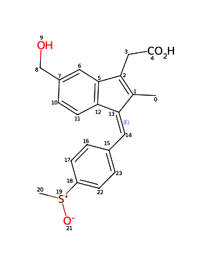 CC1=C(CC(=O)O)c2cc(CO)ccc2/C1=C\c1ccc([S+](C)[O-])cc1